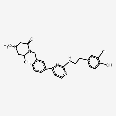 CC1CN(C)CC(=O)N1Cc1cccc(-c2ccnc(NCCc3ccc(O)c(Cl)c3)n2)c1